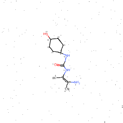 N#C/C(N)=C(\C#N)NC(=O)NC1CCC(O)CC1